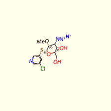 CO[C@@H]1C(N=[N+]=[N-])[C@@H](O)C(CO)O[C@@H]1Sc1cncc(Cl)c1